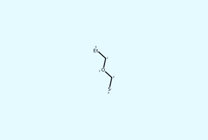 CCCOC[S]